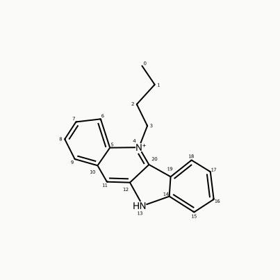 CCCC[n+]1c2ccccc2cc2[nH]c3ccccc3c21